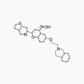 O/N=c1/cc(-c2cc3sccc3cn2)oc2ccc(OCCN3CCc4ccccc4C3)cc12